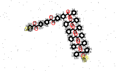 O=C(C(=O)c1ccccc1)c1ccccc1.O=C(C(=O)c1ccccc1)c1ccccc1.O=C(C(=O)c1ccccc1)c1ccccc1.O=C(C(=O)c1ccccc1)c1ccccc1.O=C(C(=O)c1ccccc1)c1ccccc1.O=C(C(=O)c1ccccc1)c1ccccc1.O=C(C(=O)c1ccccc1)c1ccccc1.O=C(C(=O)c1ccccc1)c1ccccc1.[S-2].[S-2].[S-2].[S-2]